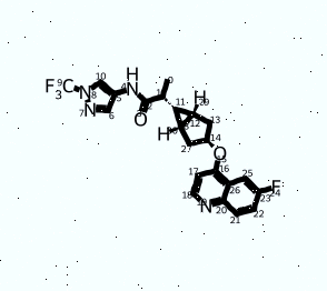 CC(C(=O)Nc1cnn(C(F)(F)F)c1)[C@@H]1[C@@H]2C[C@@H](Oc3ccnc4ccc(F)cc34)C[C@@H]21